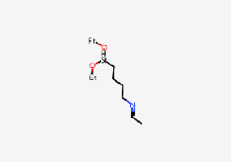 CC=NCCCC[SiH](OCC)OCC